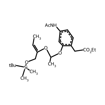 C/C=C(/CO[Si](C)(C)C(C)(C)C)OC(C)Oc1cc(NC(C)=O)ccc1CC(=O)OCC